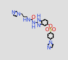 O=C(NCCCn1ccnc1)Nc1nc2cc(OS(=O)(=O)c3ccc(-n4ccnc4)cc3)ccc2[nH]1